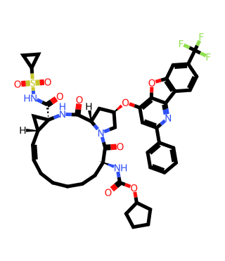 O=C(N[C@H]1CCCCC/C=C\[C@@H]2C[C@@]2(C(=O)NS(=O)(=O)C2CC2)NC(=O)[C@@H]2C[C@@H](Oc3cc(-c4ccccc4)nc4c3oc3cc(C(F)(F)F)ccc34)CN2C1=O)OC1CCCC1